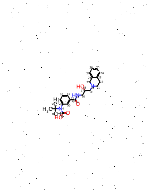 CC(C)(C)N(C(=O)O)c1cccc(C(=O)NCC(O)CN2CCc3ccccc3C2)c1